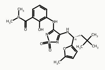 Cc1ccc([C@@H](CC(C)(C)C)NC2=NS(=O)(=O)N=C2Nc2cccc(C(=O)N(C)C)c2O)o1